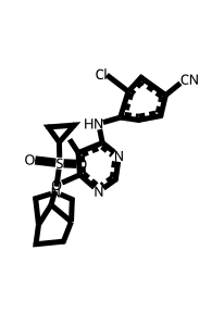 Cc1c(Nc2ccc(C#N)cc2Cl)ncnc1OC1C2CCC1CN(S(=O)(=O)C1CC1)C2